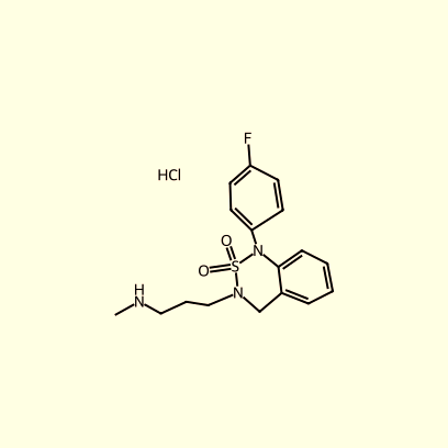 CNCCCN1Cc2ccccc2N(c2ccc(F)cc2)S1(=O)=O.Cl